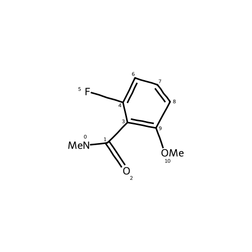 CNC(=O)c1c(F)cccc1OC